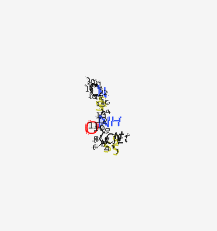 CCSC(=S)SC(C)(C#N)CCC(=O)NCCSSc1ccccn1